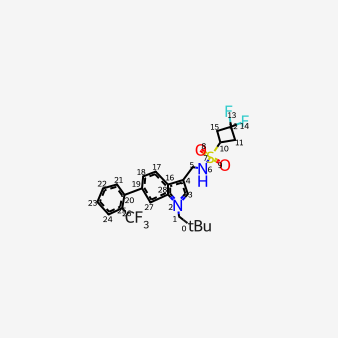 CC(C)(C)Cn1cc(CNS(=O)(=O)C2CC(F)(F)C2)c2ccc(-c3ccccc3C(F)(F)F)cc21